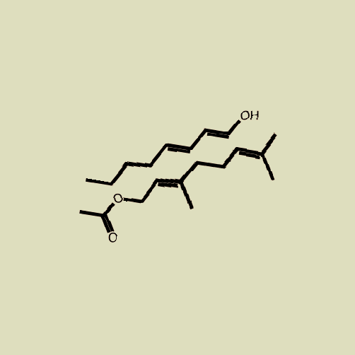 CC(=O)OC/C=C(\C)CCC=C(C)C.CCCC/C=C/C=C/O